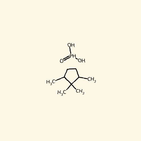 CC1CCC(C)C1(C)C.O=[PH](O)O